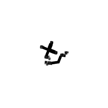 CC(C)(C)CNC(F)(F)F.CS(=O)(=O)[O-].[K+]